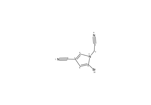 N#CCn1cc(C#N)cc1Br